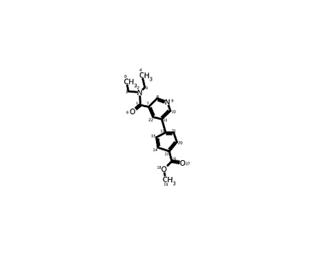 CCN(CC)C(=O)c1cncc(-c2ccc(C(=O)OC)cc2)c1